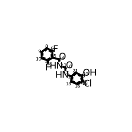 O=C(NC(=O)c1c(F)cccc1F)Nc1ccc(Cl)c(O)c1